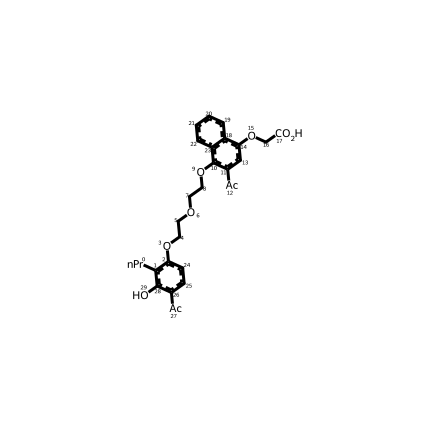 CCCc1c(OCCOCCOc2c(C(C)=O)cc(OCC(=O)O)c3ccccc23)ccc(C(C)=O)c1O